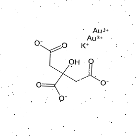 O=C([O-])CC(O)(CC(=O)[O-])C(=O)[O-].[Au+3].[Au+3].[K+]